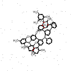 C=C(B(c1ccc2c(c1)-c1cc(-c3ccccc3C)ccc1N(c1ccccc1)c1ccc(-c3ccccc3C)cc1-c1cc(B(c3c(C)cc(C)cc3C)c3c(C)cc(C)cc3C)ccc1O2)c1c(C)cc(C)cc1C)/C(C)=C\C(C)=C/CC